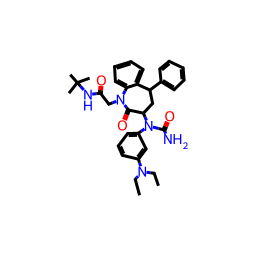 CCN(CC)c1cccc(N(C(N)=O)C2CC(c3ccccc3)c3ccccc3N(CC(=O)NC(C)(C)C)C2=O)c1